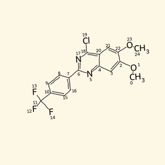 COc1cc2nc(-c3ccc(C(F)(F)F)cc3)nc(Cl)c2cc1OC